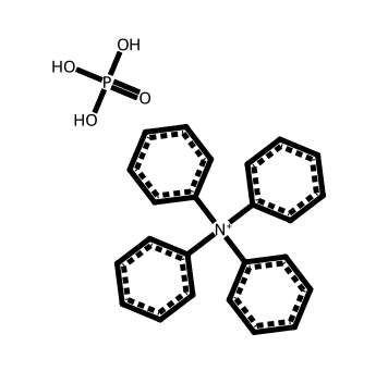 O=P(O)(O)O.c1ccc([N+](c2ccccc2)(c2ccccc2)c2ccccc2)cc1